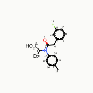 CCC(C(=O)O)N(C(=O)Cc1cccc(F)c1)c1ccc(C)cc1